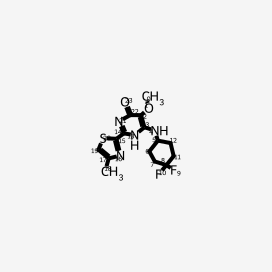 COc1c(NC2CCC(F)(F)CC2)[nH]c(-c2nc(C)cs2)nc1=O